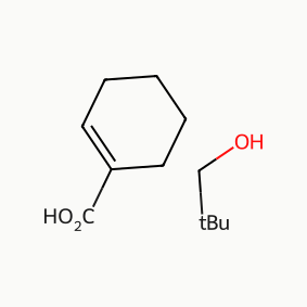 CC(C)(C)CO.O=C(O)C1=CCCCC1